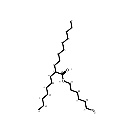 CCCCCCCCCC(CCCCCCC)C(=O)OCCCCCCBr